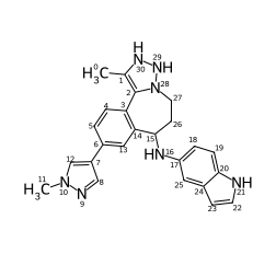 CC1=C2c3ccc(-c4cnn(C)c4)cc3C(Nc3ccc4[nH]ccc4c3)CCN2NN1